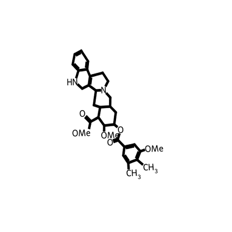 COC(=O)C1C2CC3C4=C(CCN3CC2CC(OC(=O)c2cc(C)c(C)c(OC)c2)C1OC)c1ccccc1NC4